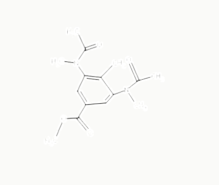 COC(=O)c1cc(N(C)C(C)=O)c(C)c(N(C)C(C)=O)c1